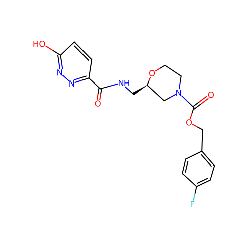 O=C(NC[C@@H]1CN(C(=O)OCc2ccc(F)cc2)CCO1)c1ccc(O)nn1